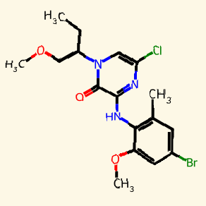 CCC(COC)n1cc(Cl)nc(Nc2c(C)cc(Br)cc2OC)c1=O